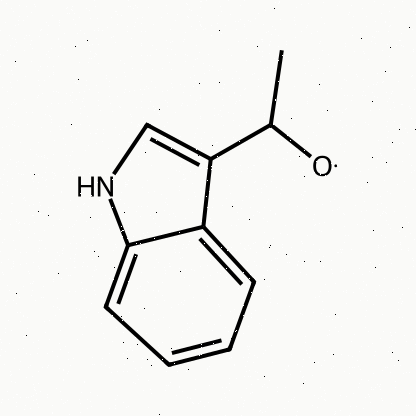 CC([O])c1c[nH]c2ccccc12